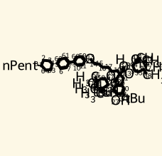 CCCCC[C@H]1CC[C@H](c2ccc(-c3ccc(OCCCCCCC(Cc4cc(C(C)(C)C)c(O)c(C(C)(C)C)c4)(C(=O)OC4CC(C)(C)N(C)C(C)(C)C4)C(=O)OC4CC(C)(C)N(C)C(C)(C)C4)cc3)cc2)CC1